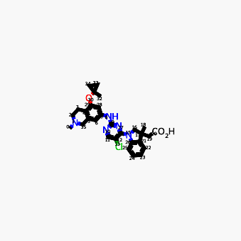 CN1CCc2c(cc(Nc3ncc(Cl)c(N4CC(C)(CC(=O)O)c5ccccc54)n3)cc2OC2(C)CC2)C1